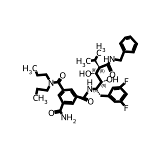 CCCN(CCC)C(=O)c1cc(C(N)=O)cc(C(=O)N[C@@H](Cc2cc(F)cc(F)c2)[C@@H](O)[C@H](O)[C@H](C(=O)NCc2ccccc2)C(C)C)c1